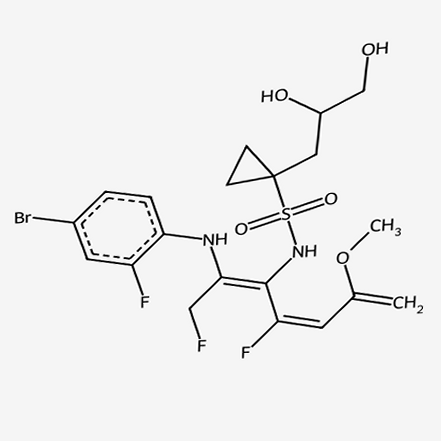 C=C(/C=C(F)\C(NS(=O)(=O)C1(CC(O)CO)CC1)=C(/CF)Nc1ccc(Br)cc1F)OC